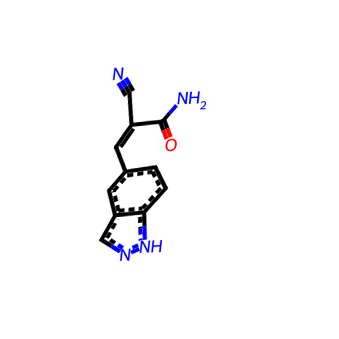 N#CC(=Cc1ccc2[nH]ncc2c1)C(N)=O